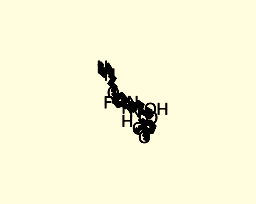 COc1cccc(CN(C(=O)O)c2ccnc(Nc3ccc(OCCCN4CCN(C)CC4)c(F)c3)n2)c1OC